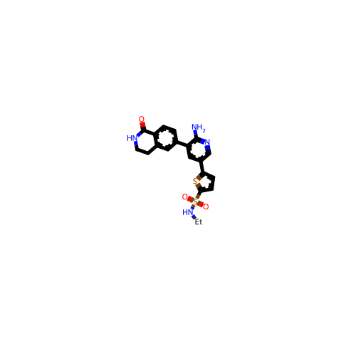 CCNS(=O)(=O)c1ccc(-c2cnc(N)c(-c3ccc4c(c3)CCNC4=O)c2)s1